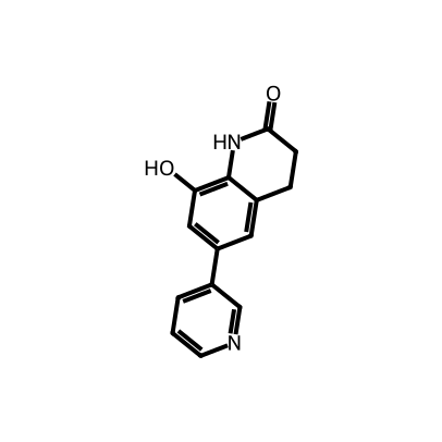 O=C1CCc2cc(-c3cccnc3)cc(O)c2N1